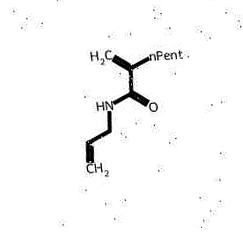 C=CCNC(=O)C(=C)CCCCC